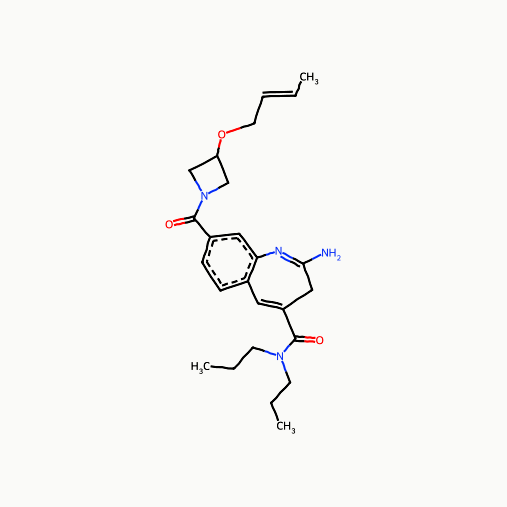 C/C=C/COC1CN(C(=O)c2ccc3c(c2)N=C(N)CC(C(=O)N(CCC)CCC)=C3)C1